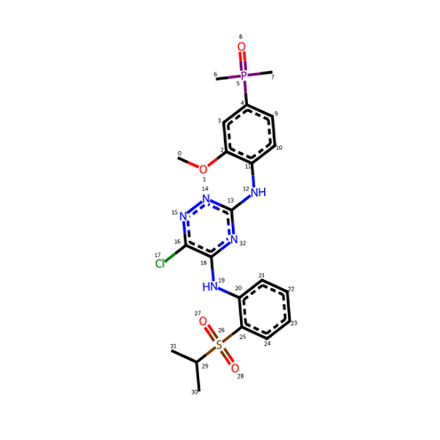 COc1cc(P(C)(C)=O)ccc1Nc1nnc(Cl)c(Nc2ccccc2S(=O)(=O)C(C)C)n1